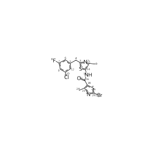 Cc1nc(Cc2cc(F)cc(Cl)c2)sc1NC(=O)c1sc(Br)nc1C